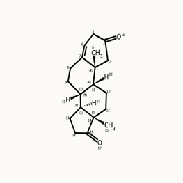 C[C@]12CC(=O)CC=C1CC[C@@H]1[C@H]2CC[C@]2(C)C(=O)CC[C@@H]12